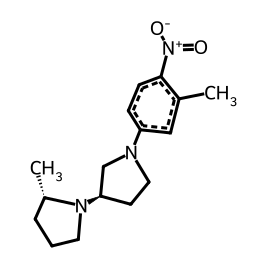 Cc1cc(N2CC[C@@H](N3CCC[C@@H]3C)C2)ccc1[N+](=O)[O-]